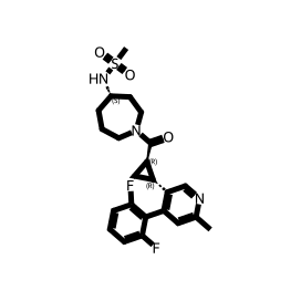 Cc1cc(-c2c(F)cccc2F)c([C@@H]2C[C@H]2C(=O)N2CCC[C@H](NS(C)(=O)=O)CC2)cn1